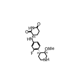 CO[C@H]1CNCC[C@@H]1c1ccc(N[C@@H]2CCC(=O)NC2=O)cc1F